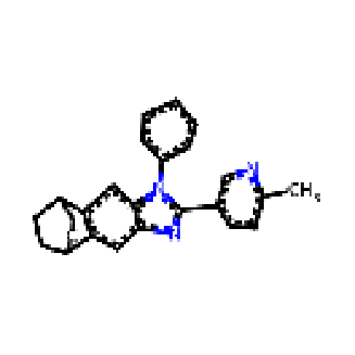 Cc1ccc(-c2nc3cc4c(cc3n2-c2ccccc2)C2CCC4CC2)cn1